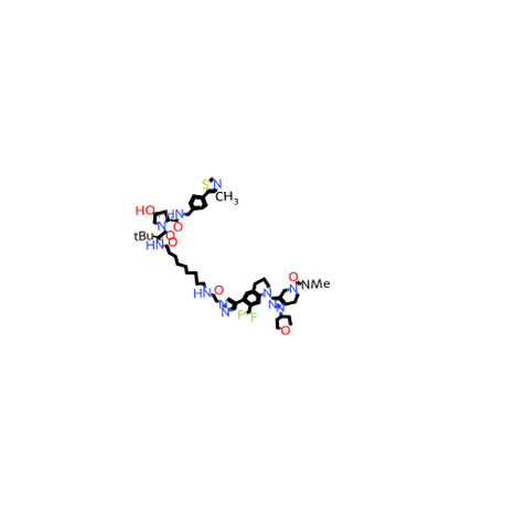 CNC(=O)N1CCc2c(c(N3CCCc4cc(-c5cnn(CC(=O)NCCCCCCCCC(=O)N[C@H](C(=O)N6C[C@H](O)C[C@H]6C(=O)NCc6ccc(-c7scnc7C)cc6)C(C)(C)C)c5)c(C(F)F)cc43)nn2C2CCOCC2)C1